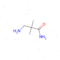 CC(C)(CN)C(N)=O